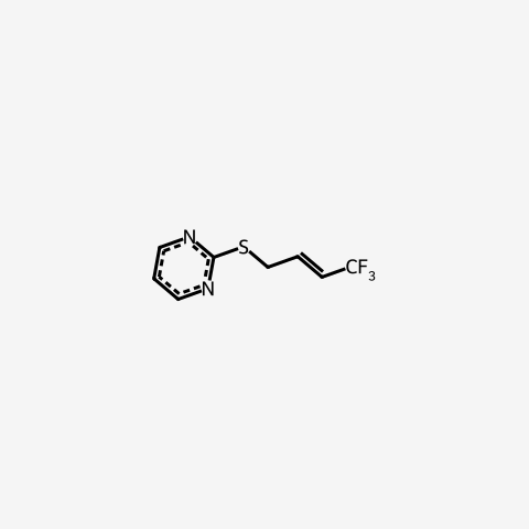 FC(F)(F)C=CCSc1ncccn1